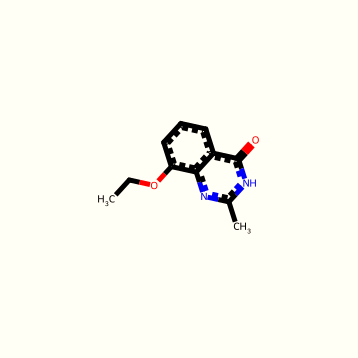 CCOc1cccc2c(=O)[nH]c(C)nc12